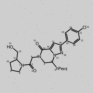 CCCCCC1CN(CC(=O)N2CCCC2CO)C(=O)c2cc(-c3ccc(Cl)cc3)nn21